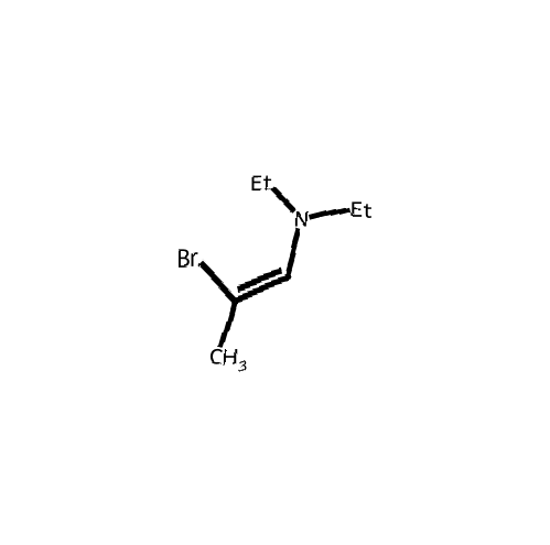 CCN(C=C(C)Br)CC